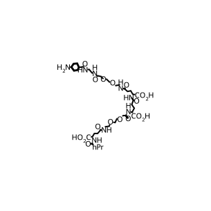 CCCC(=O)NC(CCC(=O)NCCOCCOCC(=O)NC(CCC(=O)NC(CCC(=O)NCCOCCOCC(=O)NCCNC(=O)c1ccc(N)cc1)C(=O)O)C(=O)O)C(=O)O